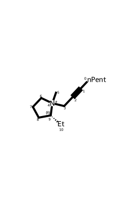 CCCCCC#CC[N+]1(C)CCC[C@H]1CC